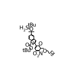 CC(C)(C)OC(=O)n1c(C2=CC([N+](=O)[O-])=CC(COCC[Si](C)(C)C)C2=O)cc2cc(C(C)(C)O[SiH2]C(C)(C)C)ccc21